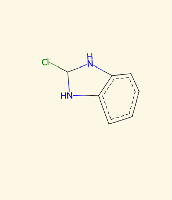 ClC1Nc2ccccc2N1